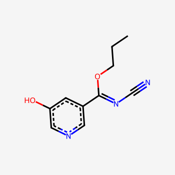 CCCOC(=NC#N)c1cncc(O)c1